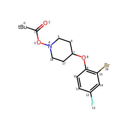 CC(C)(C)C(=O)ON1CCC(Oc2ccc(F)cc2Br)CC1